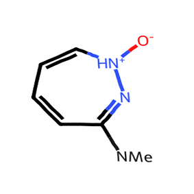 CNC1=N[NH+]([O-])C=CC=C1